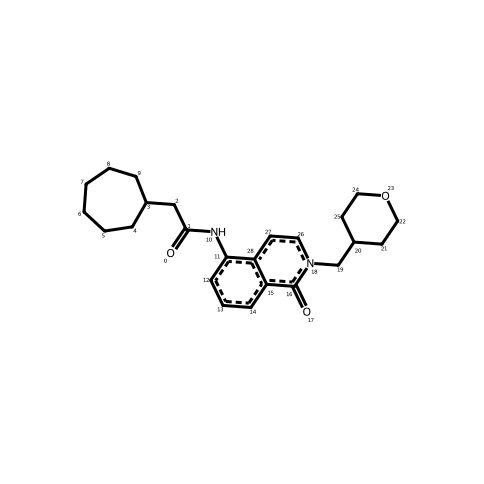 O=C(CC1CCCCCC1)Nc1cccc2c(=O)n(CC3CCOCC3)ccc12